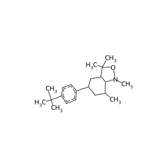 CC1CC(c2ccc(C(C)(C)C)cc2)CC2C1N(C)OC2(C)C